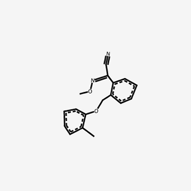 CO/N=C(/C#N)c1ccccc1COc1ccccc1C